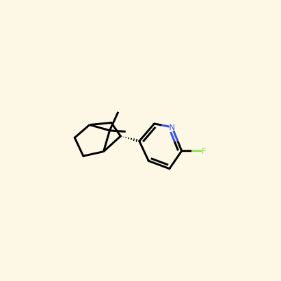 CC1(C)C2CCC1[C@@H](c1ccc(F)nc1)C2